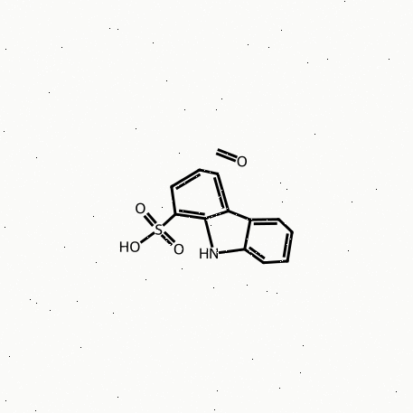 C=O.O=S(=O)(O)c1cccc2c1[nH]c1ccccc12